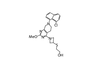 COc1nc2c(c(N3CC(SCCO)C3)n1)CCN(c1cccc3cccc(Cl)c13)C2